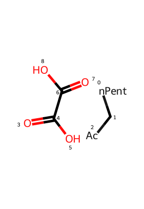 CCCCCCC(C)=O.O=C(O)C(=O)O